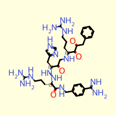 N=C(N)c1ccc(CNC(=O)[C@H](CCCNC(N)N)NN[C@@H](Cc2c[nH]cn2)C(=O)CN[C@@H](CCCNC(N)N)C(=O)C(=O)Cc2ccccc2)cc1